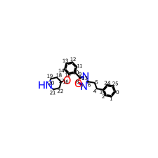 c1ccc(CCc2noc(-c3ccccc3OC3CCNCC3)n2)cc1